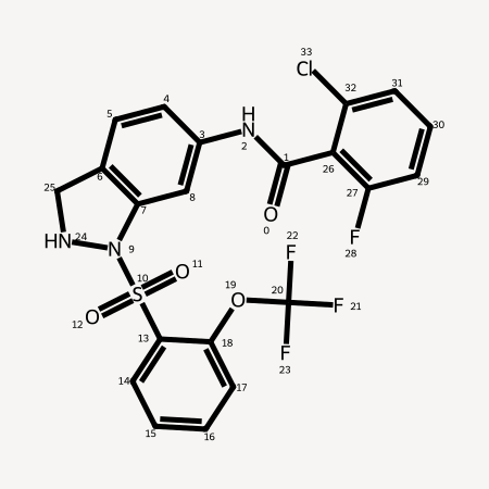 O=C(Nc1ccc2c(c1)N(S(=O)(=O)c1ccccc1OC(F)(F)F)NC2)c1c(F)cccc1Cl